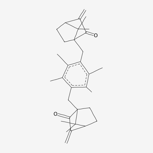 C=C1C(=O)C2(Cc3c(C)c(C)c(CC45CCC(C(=C)C4=O)C5(C)C)c(C)c3C)CCC1C2(C)C